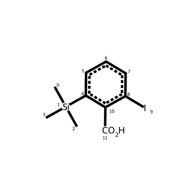 C[Si](C)(C)c1cccc(I)c1C(=O)O